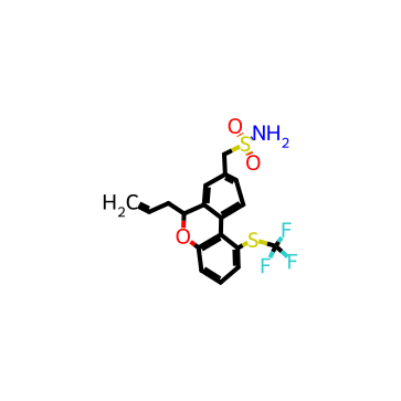 C=CCC1Oc2cccc(SC(F)(F)F)c2-c2ccc(CS(N)(=O)=O)cc21